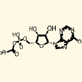 CCCC(=O)OP(=O)(O)OC[C@H]1O[C@@H](n2cnc3c(O)ncnc32)[C@H](O)[C@@H]1O